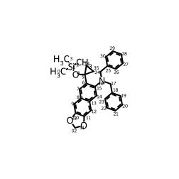 C[Si](C)(C)OC1(c2cc3cc4c(cc3cc2N(Cc2ccccc2)Cc2ccccc2)OCO4)CC1